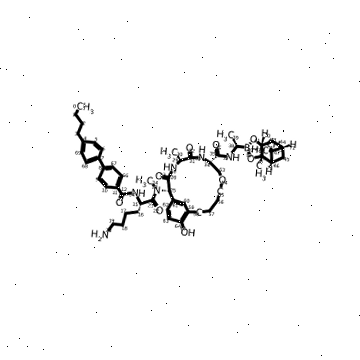 CCCCc1ccc(-c2ccc(C(=O)N[C@@H](CCCCN)C(=O)N(C)[C@@H]3C(=O)N[C@@H](C)C(=O)N[C@H](C(=O)N[C@@H](C)B4O[C@@H]5C[C@@H]6C[C@@H](C6(C)C)[C@]5(C)O4)COCCCCc4cc3ccc4O)cc2)cc1